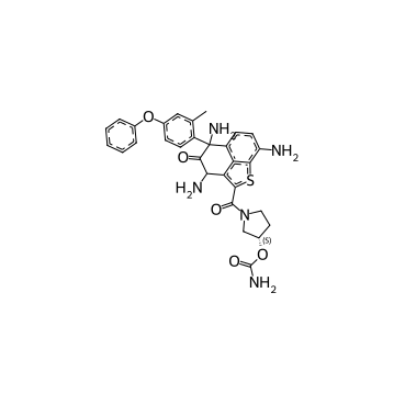 Cc1cc(Oc2ccccc2)ccc1C1(N)C(=O)C(N)c2c(C(=O)N3CC[C@H](OC(N)=O)C3)sc3c(N)ccc1c23